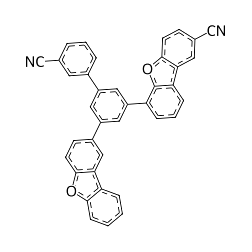 N#Cc1cccc(-c2cc(-c3ccc4oc5ccccc5c4c3)cc(-c3cccc4c3oc3ccc(C#N)cc34)c2)c1